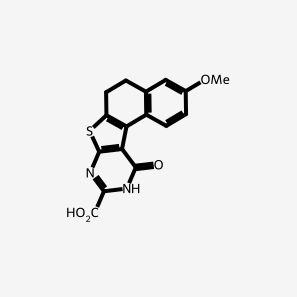 COc1ccc2c(c1)CCc1sc3nc(C(=O)O)[nH]c(=O)c3c1-2